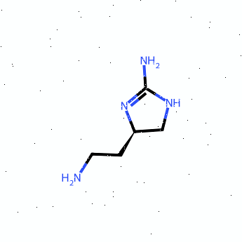 NCC[C@@H]1CNC(N)=N1